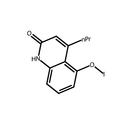 CCCc1cc(=O)[nH]c2cccc(OI)c12